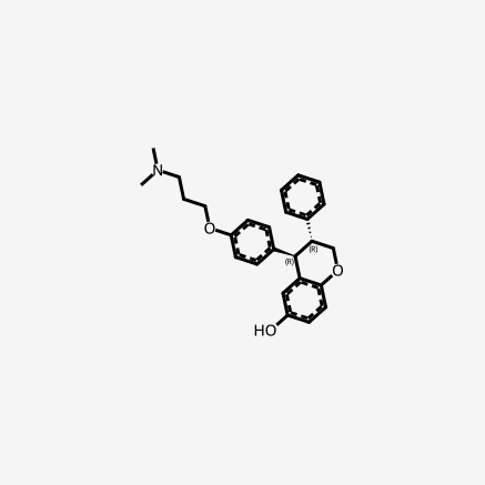 CN(C)CCCOc1ccc([C@@H]2c3cc(O)ccc3OC[C@H]2c2ccccc2)cc1